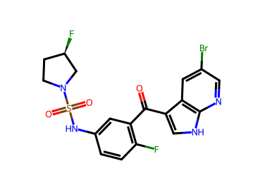 O=C(c1cc(NS(=O)(=O)N2CC[C@@H](F)C2)ccc1F)c1c[nH]c2ncc(Br)cc12